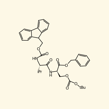 CC(C)[C@H](NC(=O)OCC1c2ccccc2-c2ccccc21)C(=O)N[C@H](COC(=O)OC(C)(C)C)C(=O)OCc1ccccc1